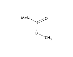 CBC(=O)NC